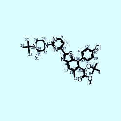 COC(=O)[C@@H](OC(C)(C)C)c1c(C)cc2nc(-c3ccnc(N4CCN(C(C)(C)C)[C@@H](C)C4)n3)sc2c1-c1ccc(Cl)cc1